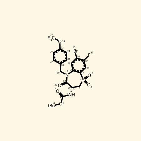 CC(C)(C)OC(=O)N[C@H]1CS(=O)(=O)c2cc(F)c(Br)cc2N(Cc2ccc(OC(F)(F)F)cc2)C1=O